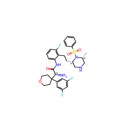 C[C@@H]1CNC[C@H](CCc2c(F)cccc2NC(=O)[C@@H](N)C2(c3cc(F)cc(F)c3)CCOCC2)N1S(=O)(=O)c1ccccc1